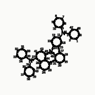 c1ccc(N(c2ccccc2)c2ccc3c(c2)c2cccc4c5cccc6c(N(c7ccccc7)c7ccccc7)ccc(c65)n3c42)cc1